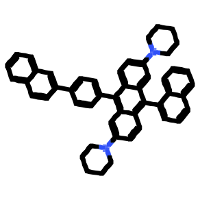 c1ccc2cc(-c3ccc(-c4c5cc(N6CCCCC6)ccc5c(-c5cccc6ccccc56)c5cc(N6CCCCC6)ccc45)cc3)ccc2c1